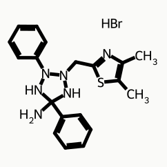 Br.Cc1nc(CN2NC(N)(c3ccccc3)NN2c2ccccc2)sc1C